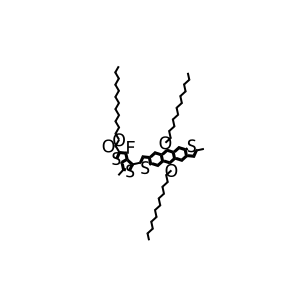 CCCCCCCCCCCCOC(=O)c1sc2c(C)sc(-c3cc4cc5c(OCCCCCCCCCCCC)c6cc7sc(C)cc7cc6c(OCCCCCCCCCCCC)c5cc4s3)c2c1F